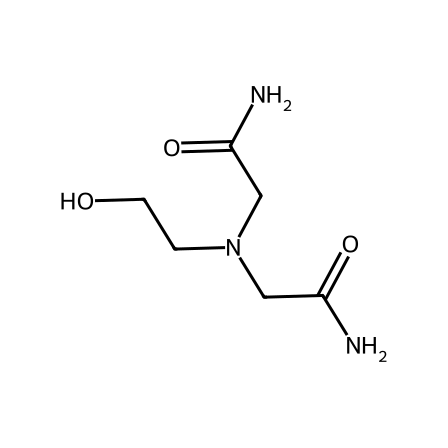 NC(=O)CN(CCO)CC(N)=O